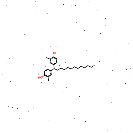 CCCCCCCCCCCCC(c1ccc(O)c(C)c1)c1ccc(O)c(C)c1